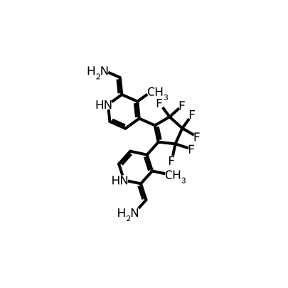 CC1=C(C2=C(C3=C(C)C(=CN)NC=C3)C(F)(F)C(F)(F)C2(F)F)C=CNC1=CN